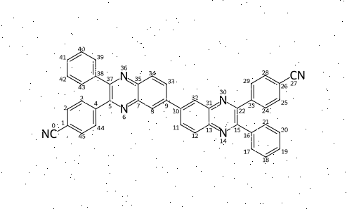 N#Cc1ccc(-c2nc3cc(-c4ccc5nc(-c6ccccc6)c(-c6ccc(C#N)cc6)nc5c4)ccc3nc2-c2ccccc2)cc1